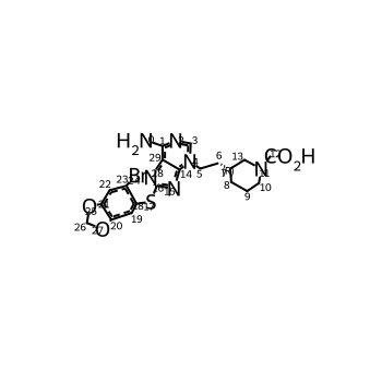 Nc1ncn(CC[C@H]2CCCN(C(=O)O)C2)c2nc(Sc3cc4c(cc3Br)OCO4)nc1-2